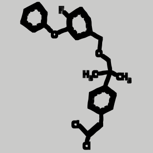 CC(C)(COCc1ccc(F)c(Oc2ccccc2)c1)c1ccc(C=C(Cl)Cl)cc1